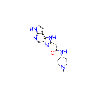 CN1CCC(NC(=O)Cc2nc3cnc4[nH]ccc4c3[nH]2)CC1